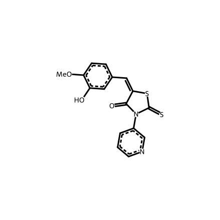 COc1ccc(/C=C2/SC(=S)N(c3cccnc3)C2=O)cc1O